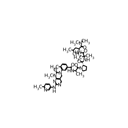 Cc1ccc(Nc2ncc3c(n2)N(C)C(=O)N(c2cc(C(=O)NC(C)C(=O)N4CCC[C@H]4C(=O)NC(C)(C)C(=O)NC(CC(C)C)C(=O)N(C)C)ccc2C)C3)cn1